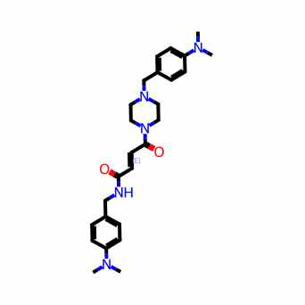 CN(C)c1ccc(CNC(=O)/C=C/C(=O)N2CCN(Cc3ccc(N(C)C)cc3)CC2)cc1